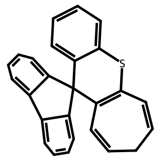 C1=CC2=C(C=CC1)C1(c3ccccc3S2)c2ccccc2-c2ccccc21